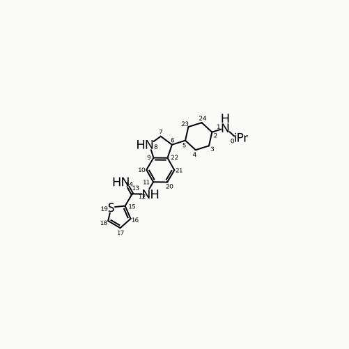 CC(C)NC1CCC(C2CNc3cc(NC(=N)c4cccs4)ccc32)CC1